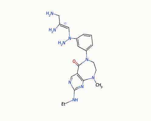 CCNc1ncc2c(n1)N(C)CCN(c1cccc(N(N)/C=C(\N)CN)c1)C2=O